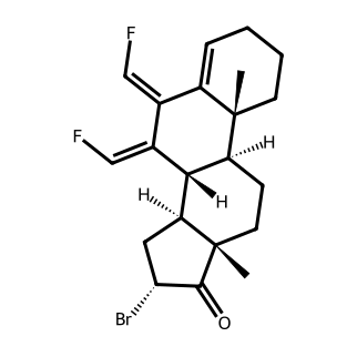 C[C@]12CCCC=C1C(=CF)C(=CF)[C@@H]1[C@@H]2CC[C@]2(C)C(=O)[C@H](Br)C[C@@H]12